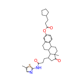 Cc1cnc(NC(=O)CCC2CC(=O)C3(C)CCC4c5ccc(OC(=O)CCC6CCCC6)cc5CCC4C23)s1